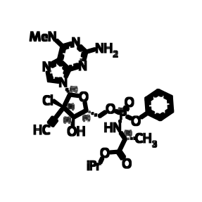 C#C[C@@]1(Cl)[C@H](O)[C@@H](CO[P@](=O)(N[C@H](C)C(=O)OC(C)C)Oc2ccccc2)O[C@H]1n1cnc2c(NC)nc(N)nc21